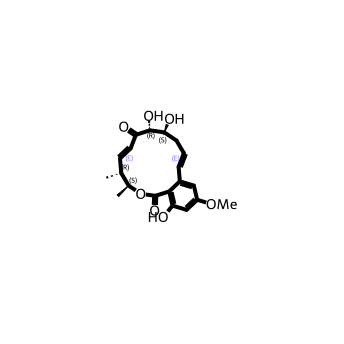 COc1cc(O)c2c(c1)/C=C/C[C@H](O)[C@@H](O)C(=O)/C=C/[C@@H](C)[C@H](C)OC2=O